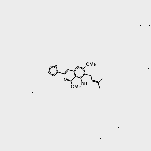 COC(=O)c1c(/C=C/c2cccs2)cc(OC)c(CC=C(C)C)c1O